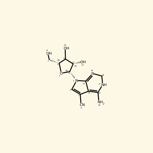 N#Cc1cn([C@@H]2O[C@H](CO)C(O)[C@@H]2O)c2c1=C(N)NCN=2